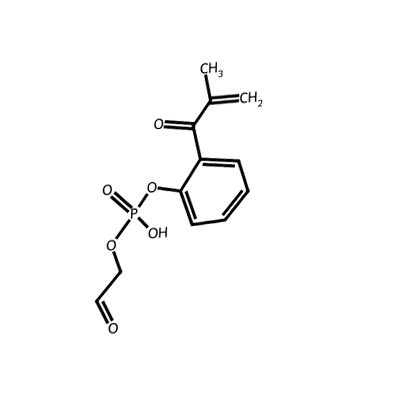 C=C(C)C(=O)c1ccccc1OP(=O)(O)OCC=O